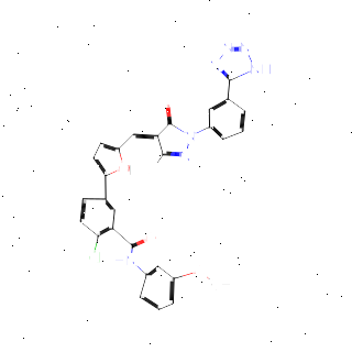 COc1cccc(NC(=O)c2cc(-c3ccc(C=C4C(=O)N(c5cccc(-c6nnn[nH]6)c5)N=C4C)o3)ccc2Cl)c1